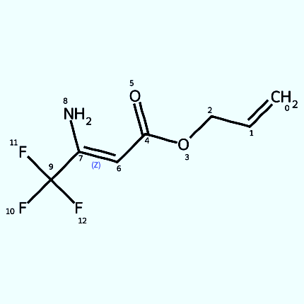 C=CCOC(=O)/C=C(\N)C(F)(F)F